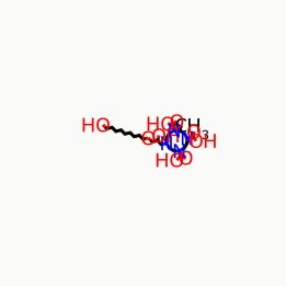 CC1CN(C(=O)O)CCN(C(=O)O)CCN(CC(O)COCCCCCCCCCO)CCN1C(=O)O